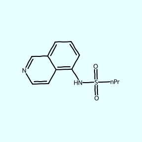 CCCS(=O)(=O)Nc1cccc2cnccc12